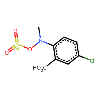 CN(O[SH](=O)=O)c1ccc(Cl)cc1C(=O)O